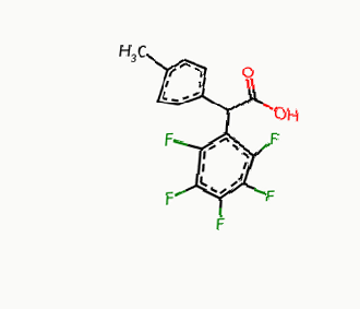 Cc1ccc(C(C(=O)O)c2c(F)c(F)c(F)c(F)c2F)cc1